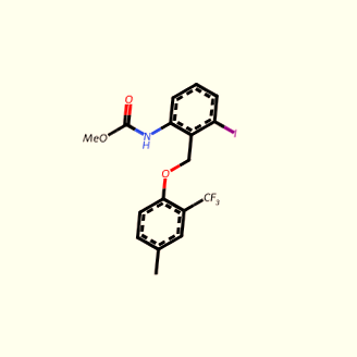 COC(=O)Nc1cccc(I)c1COc1ccc(C)cc1C(F)(F)F